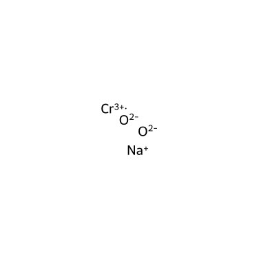 [Cr+3].[Na+].[O-2].[O-2]